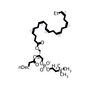 CC/C=C\C/C=C\C/C=C\C/C=C\C/C=C\C/C=C\CCC(=O)OC[C@H](COP(=O)([O-])OCC[N+](C)(C)C)OC(=O)CCCCCCCCCCC